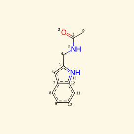 CC(=O)N[CH]c1cc2ccccc2[nH]1